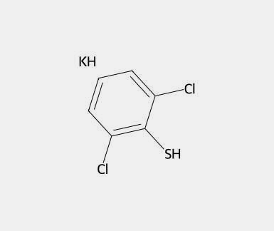 Sc1c(Cl)cccc1Cl.[KH]